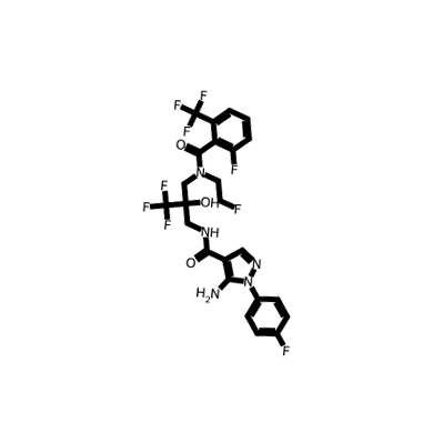 Nc1c(C(=O)NCC(O)(CN(CCF)C(=O)c2c(F)cccc2C(F)(F)F)C(F)(F)F)cnn1-c1ccc(F)cc1